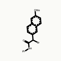 COc1ccc2cc(C(Br)C(=O)NC(C)C)ccc2c1